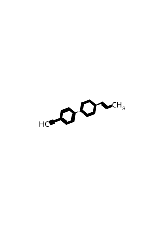 C#Cc1ccc([C@H]2CC[C@H](/C=C/C)CC2)cc1